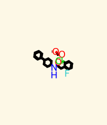 COC=O.O=C(Cc1c(F)cccc1Cl)NC1CCC(c2ccccc2)CC1